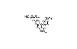 COc1cccc(C2C/C(=C\c3cccc(C(=O)O)c3)CCC2CN(C)C)c1